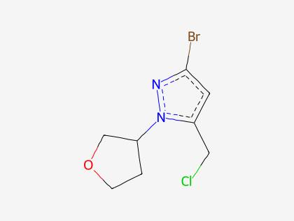 ClCc1cc(Br)nn1C1CCOC1